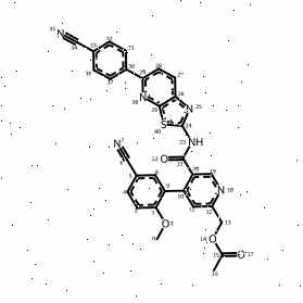 COc1ccc(C#N)cc1-c1cc(COC(C)=O)ncc1C(=O)Nc1nc2ccc(-c3ccc(C#N)cc3)nc2s1